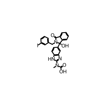 CN(C(=O)O)c1nc2cc(C3(O)c4ccccc4C(=O)N3Cc3cccc(I)c3)ccc2[nH]1